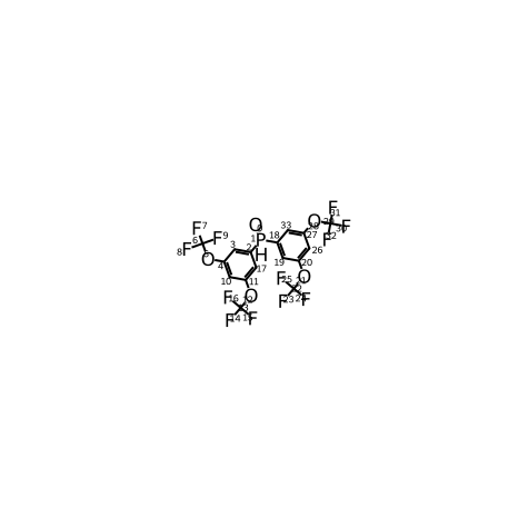 O=[PH](c1cc(OC(F)(F)F)cc(OC(F)(F)F)c1)c1cc(OC(F)(F)F)cc(OC(F)(F)F)c1